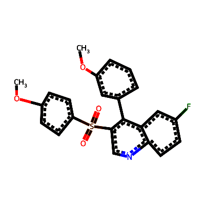 COc1ccc(S(=O)(=O)c2cnc3ccc(F)cc3c2-c2cccc(OC)c2)cc1